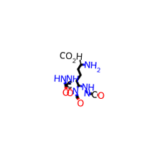 N=C=O.N=C=O.N[C@@H](CCCC(N=C=O)NN=C=O)C(=O)O